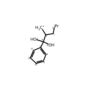 CC(C)CC(C)C(O)(O)c1ccccc1